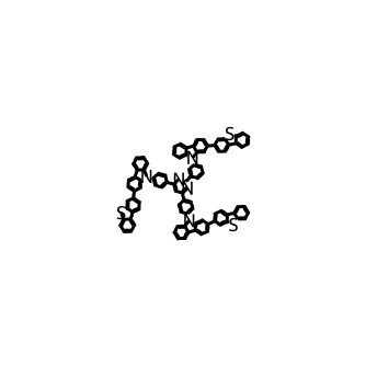 c1cc(-c2nc(-c3ccc(-n4c5ccccc5c5ccc(-c6ccc7c(c6)sc6ccccc67)cc54)cc3)cc(-c3ccc(-n4c5ccccc5c5ccc(-c6ccc7c(c6)sc6ccccc67)cc54)cc3)n2)cc(-n2c3ccccc3c3ccc(-c4ccc5c(c4)sc4ccccc45)cc32)c1